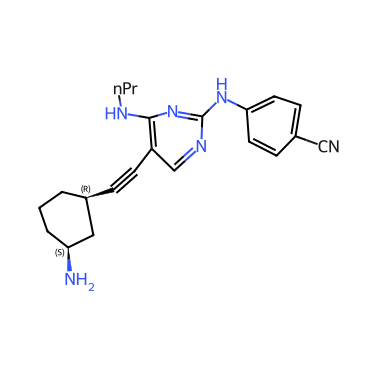 CCCNc1nc(Nc2ccc(C#N)cc2)ncc1C#C[C@@H]1CCC[C@H](N)C1